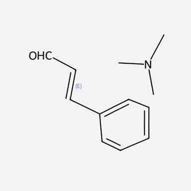 CN(C)C.O=C/C=C/c1ccccc1